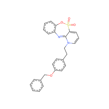 O=S1(=O)Oc2ccccc2N=C2C1=CC=CN2CCc1ccc(OCc2ccccc2)cc1